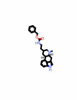 CN1CC(CCNC(=O)OCc2ccccc2)C[C@@H]2c3cccc4[nH]cc(c34)C[C@H]21